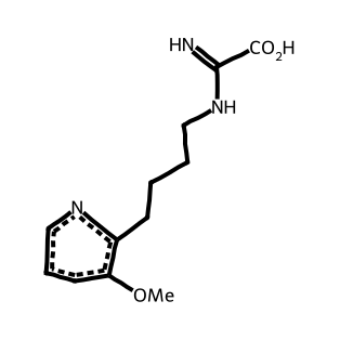 COc1cccnc1CCCCNC(=N)C(=O)O